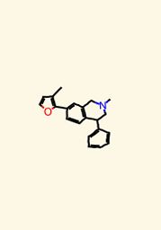 Cc1ccoc1-c1ccc2c(c1)CN(C)CC2c1ccccc1